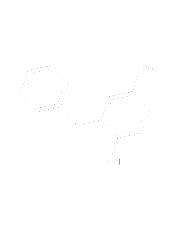 CC(C)(C)c1ccc(O)c(Sc2ccccc2)c1